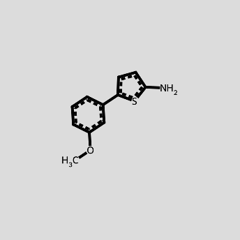 COc1cccc(-c2ccc(N)s2)c1